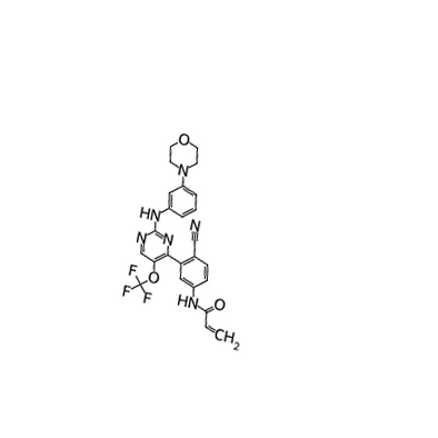 C=CC(=O)Nc1ccc(C#N)c(-c2nc(Nc3cccc(N4CCOCC4)c3)ncc2OC(F)(F)F)c1